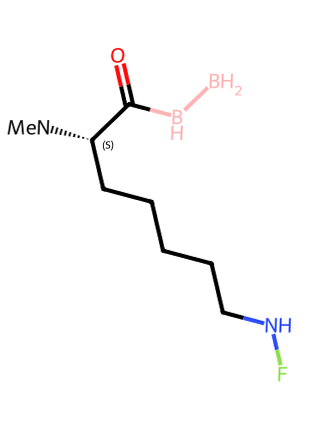 BBC(=O)[C@H](CCCCCNF)NC